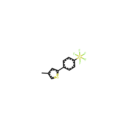 Cc1csc(-c2ccc(S(F)(F)(F)(F)F)cc2)c1